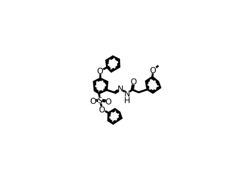 COc1cccc(CC(=O)NN=Cc2cc(Oc3ccccc3)ccc2S(=O)(=O)Oc2ccccc2)c1